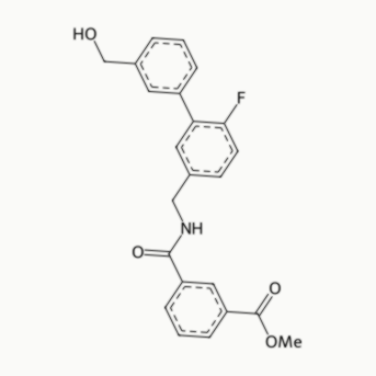 COC(=O)c1cccc(C(=O)NCc2ccc(F)c(-c3cccc(CO)c3)c2)c1